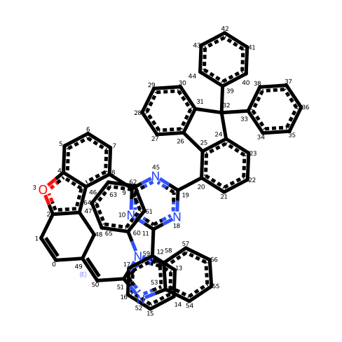 C1=Cc2oc3cccc(-c4nc(-c5ccccc5)nc(-c5cccc6c5-c5ccccc5C6(c5ccccc5)c5ccccc5)n4)c3c2C/C1=C\c1nc2ccccc2n1-c1ccccc1